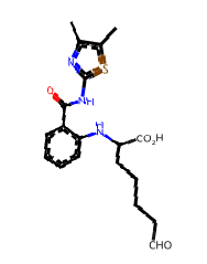 Cc1nc(NC(=O)c2ccccc2NC(CCCCC=O)C(=O)O)sc1C